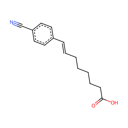 N#Cc1ccc(/C=C/CCCCCC(=O)O)cc1